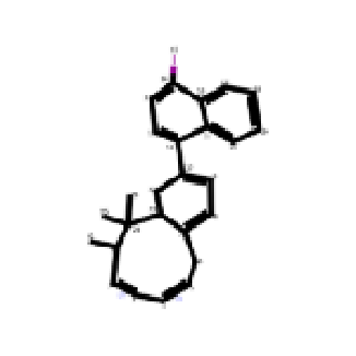 CC1/C=C\C=C/CC2=CC=C(c3ccc(I)c4ccccc34)CC2C1(C)C